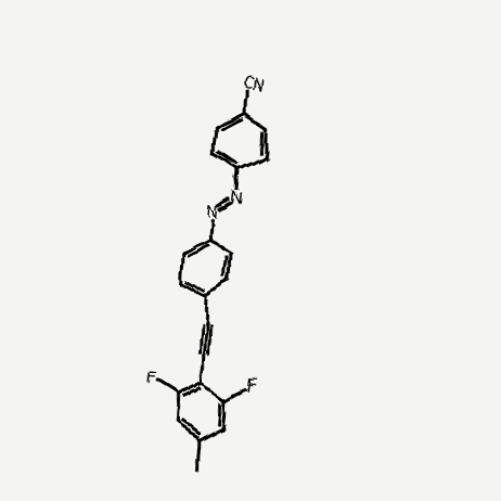 Cc1cc(F)c(C#Cc2ccc(N=Nc3ccc(C#N)cc3)cc2)c(F)c1